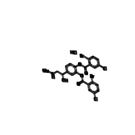 CC(C)(C)NCC(O)c1ccc(OC(=O)c2cc(Cl)ccc2Br)c(OC(=O)c2cc(Cl)ccc2Br)c1.Cl